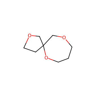 C1COCC2(CCOC2)OC1